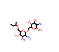 CCC(C)OCC1O[C@@H](OCC2O[C@H](O)C(N)C(O)[C@@H]2O)C(N)C(O)[C@@H]1O